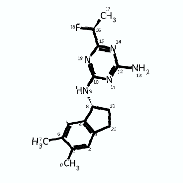 Cc1cc2c(cc1C)[C@H](Nc1nc(N)nc([C@H](C)F)n1)CC2